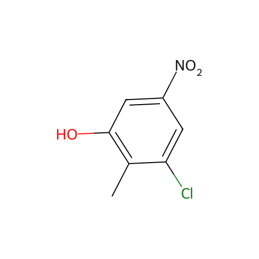 Cc1c(O)cc([N+](=O)[O-])cc1Cl